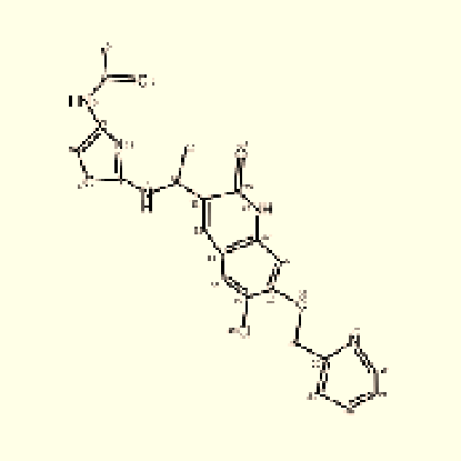 CC(=O)Nc1coc(NC(C)c2cc3cc(Cl)c(OCc4ccccn4)cc3[nH]c2=O)n1